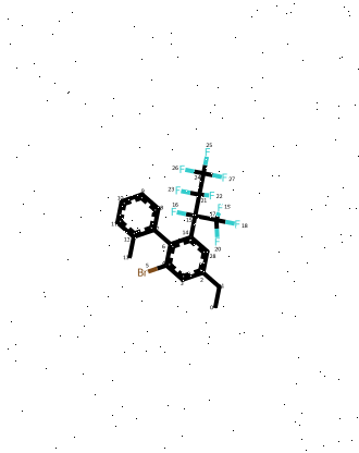 CCc1[c]c(Br)c(-c2ccccc2C)c(C(F)(C(F)(F)F)C(F)(F)C(F)(F)F)c1